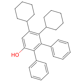 Oc1cc(C2CCCCC2)c(C2CCCCC2)c(-c2ccccc2)c1-c1ccccc1